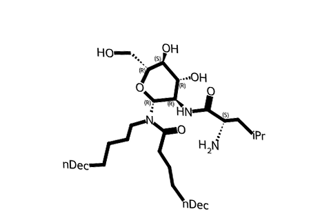 CCCCCCCCCCCCCCN(C(=O)CCCCCCCCCCCCC)[C@@H]1O[C@H](CO)[C@@H](O)[C@H](O)[C@H]1NC(=O)[C@@H](N)CC(C)C